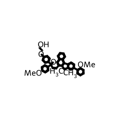 COc1ccc(C2(c3ccc(OCCO)cc3)C=Cc3c4c(c5ccccc5c3O2)-c2ccc(-c3ccccc3OC)cc2C4(C)C)cc1